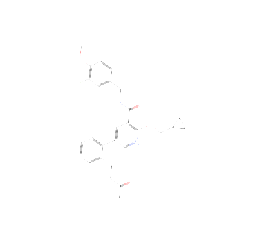 COc1ccc(CNC(=O)c2cc(-c3ccccc3CCC(C)=O)cnc2OCC2CC2)cc1F